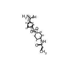 C=CC(=O)NC1CCN(S(=O)(=O)c2ccc(C(N)C(C)=O)s2)CC1